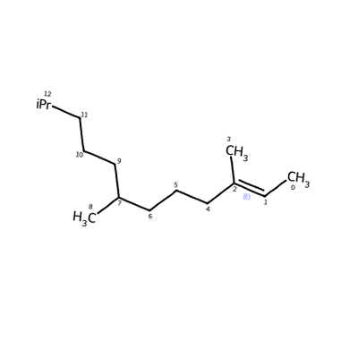 C/C=C(\C)CCCC(C)CCCC(C)C